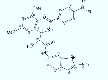 CCN(CC)c1ccc(C(=O)NC(c2cc(OC)cc(OC)c2)C(O)C(=O)Nc2ccc3nc(N)[nH]c3c2)cc1